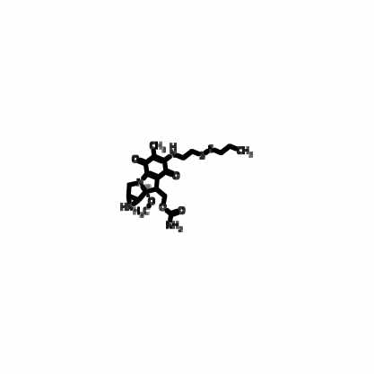 CCCSSCCNC1=C(C)C(=O)C2=C(C1=O)C(COC(N)=O)[C@@]1(OC)C3NC3CN21